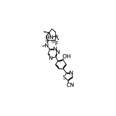 CN(c1cnc(-c2ccc(-c3ncc(C#N)s3)cc2O)nn1)[C@H]1C[C@]2(C)CC[C@@](C)(N2)[C@H]1F